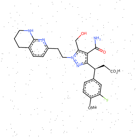 COc1ccc([C@H](CC(=O)O)c2nn(CCc3ccc4c(n3)NCCC4)c(CO)c2C(N)=O)cc1F